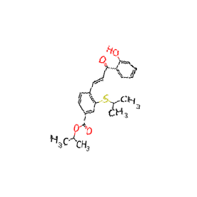 CC(C)OC(=O)c1ccc(/C=C/C(=O)c2ccccc2O)c(SC(C)C)c1